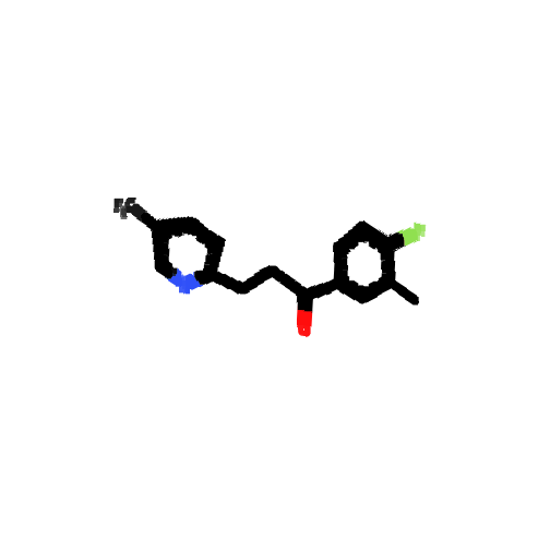 Cc1cc(C(=O)CCc2ccc(C(F)(F)F)cn2)ccc1F